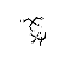 CC[SiH](C)[Si](Cl)(Cl)Cl.NC(CO)(CO)CO